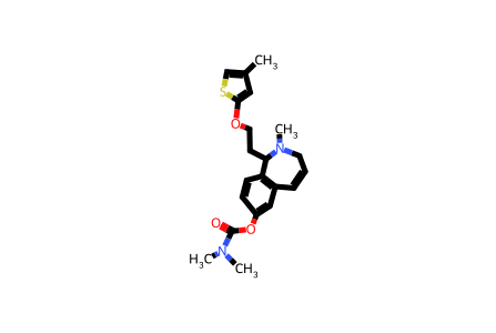 Cc1csc(OCCC2c3ccc(OC(=O)N(C)C)cc3C=CCN2C)c1